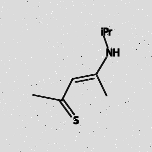 CC(=S)C=C(C)NC(C)C